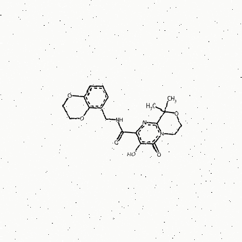 CC1(C)OCCn2c1nc(C(=O)NCc1cccc3c1OCCO3)c(O)c2=O